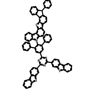 c1ccc(-c2cc(-c3nc(-c4ccc5c(c4)sc4ccccc45)nc(-c4ccc5c(c4)sc4ccccc45)n3)cc(-c3ccccc3)c2-n2c3ccccc3c3c4sc5c6c(ccc5c4ccc32)C(c2ccccc2)c2ccccc2-6)cc1